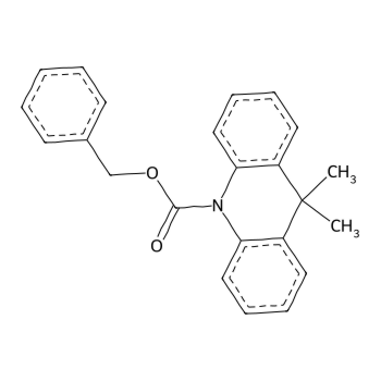 CC1(C)c2ccccc2N(C(=O)OCc2ccccc2)c2ccccc21